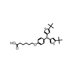 CC(C)(C)c1cc(N(c2ccc(OCCCCCC(=O)O)cc2)c2csc(C(C)(C)C)c2)cs1